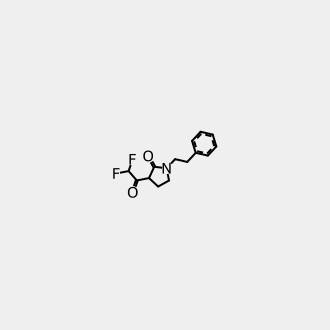 O=C(C(F)F)C1CCN(CCc2ccccc2)C1=O